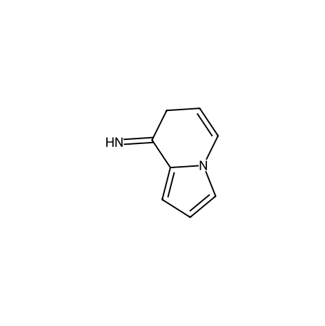 N=C1CC=Cn2cccc21